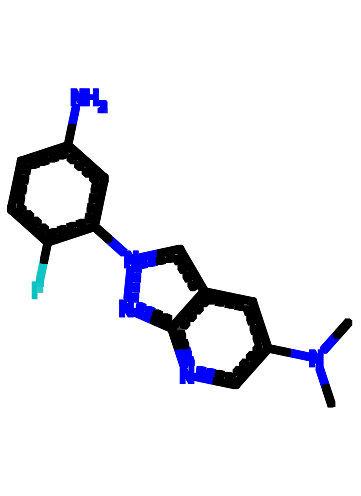 CN(C)c1cnc2nn(-c3cc(N)ccc3F)cc2c1